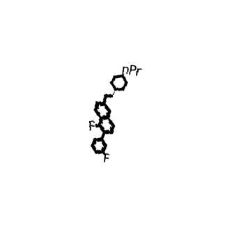 CCC[C@H]1CC[C@H](CCc2ccc3c(F)c(-c4cccc(F)c4)ccc3c2)CC1